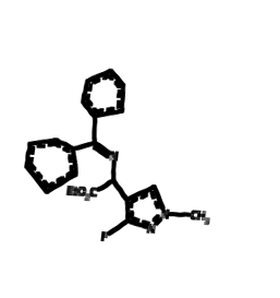 CCOC(=O)C(N=C(c1ccccc1)c1ccccc1)c1cn(C)nc1F